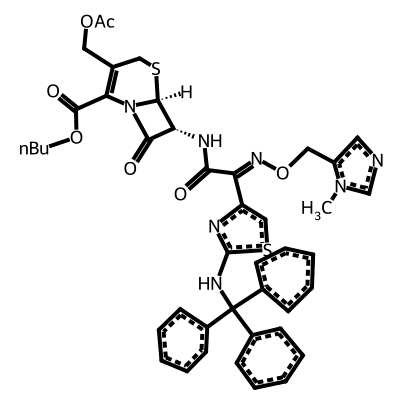 CCCCOC(=O)C1=C(COC(C)=O)CS[C@H]2[C@H](NC(=O)C(=NOCc3cncn3C)c3csc(NC(c4ccccc4)(c4ccccc4)c4ccccc4)n3)C(=O)N12